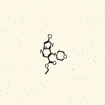 CCOC(=O)c1cnn2cc(Cl)nc2c1N1CCOCC1